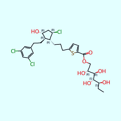 CC[C@H](O)[C@H](O)[C@H](O)[C@H](O)COC(=O)c1ccc(CCC[C@@H]2[C@@H](CCc3cc(Cl)cc(Cl)c3)[C@H](O)C[C@H]2Cl)s1